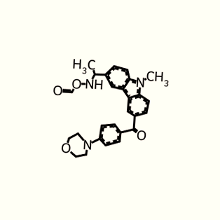 CC(NOC=O)c1ccc2c(c1)c1cc(C(=O)c3ccc(N4CCOCC4)cc3)ccc1n2C